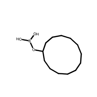 OB(O)OC1CCCCCCCCCCCC1